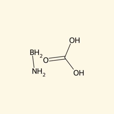 BN.O=C(O)O